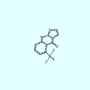 O=c1c2c(C(F)(F)F)cccc2nc2sccn12